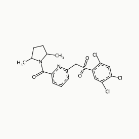 CC1CCC(C)N1C(=O)c1cccc(CS(=O)(=O)c2cc(Cl)c(Cl)cc2Cl)n1